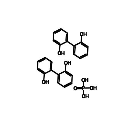 O=P(O)(O)O.Oc1ccccc1-c1ccccc1O.Oc1ccccc1-c1ccccc1O